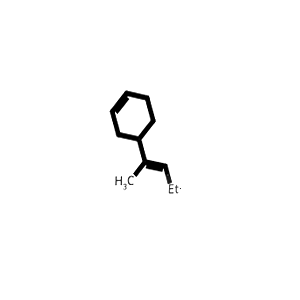 C[CH]C=C(C)[C]1CC=CCC1